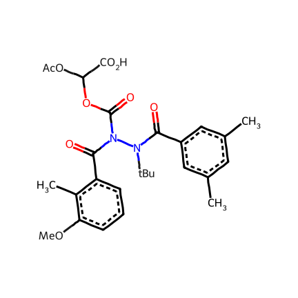 COc1cccc(C(=O)N(C(=O)OC(OC(C)=O)C(=O)O)N(C(=O)c2cc(C)cc(C)c2)C(C)(C)C)c1C